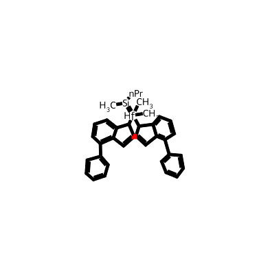 CCC[Si](C)=[Hf]([CH3])([CH3])([CH]1C=Cc2c(-c3ccccc3)cccc21)[CH]1C=Cc2c(-c3ccccc3)cccc21